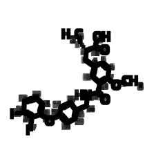 CC[C@@H](Cc1ccc(OC)c(C(=O)NCc2ccc(Oc3cccc(F)c3F)cc2)c1)C(=O)O